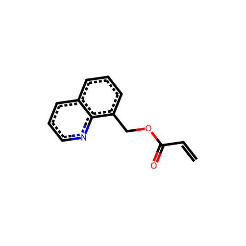 C=CC(=O)OCc1cccc2cccnc12